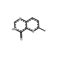 O=c1[nH]cnc2ccc(F)nc12